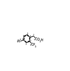 CC(C)c1ccc(CC(=O)O)c(C(F)(F)F)c1